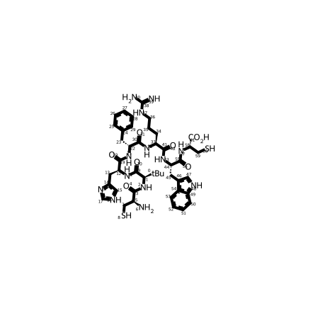 CC(C)(C)[C@@H](NC(=O)[C@@H](N)CS)C(=O)N[C@@H](Cc1c[nH]cn1)C(=O)N[C@H](Cc1ccccc1)C(=O)N[C@@H](CCCNC(=N)N)C(=O)N[C@@H](Cc1c[nH]c2ccccc12)C(=O)N[C@@H](CS)C(=O)O